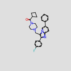 O=C(C1CCC1)N1CCN(Cc2c(-c3ccc(F)cc3)nc3ccc(-c4ccccc4)cn23)CC1